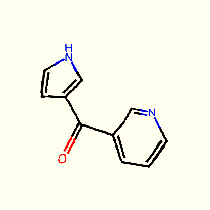 O=C(c1cccnc1)c1cc[nH]c1